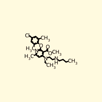 CCCCNCCN(CC)c1cc(C)nc(Oc2c(C)cc(Cl)cc2C)c1C(=O)OC